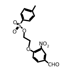 Cc1ccc(S(=O)(=O)OCCOc2ccc(C=O)cc2[N+](=O)[O-])cc1